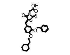 O=C(O)CN1C(=O)C(=Cc2ccc(OCCC3CCCCC3)c(OCc3ccccc3)c2)SC1=S